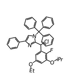 CCOc1cc(OC(C)C)c(F)c(C(Cl)c2nc(-c3ccccc3)cn2C(c2ccccc2)(c2ccccc2)c2ccccc2)c1